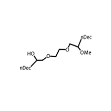 CCCCCCCCCCC(O)COCCOCC(CCCCCCCCCC)OC